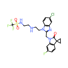 O=C1N(Cc2nc3cc(Cl)ccc3n2CCNCCNS(=O)(=O)C(F)(F)F)c2cc(F)ccc2C12CC2